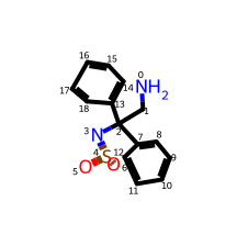 NCC(N=S(=O)=O)(c1ccccc1)c1ccccc1